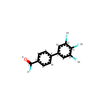 O=C(F)c1ccc(-c2cc(F)c(F)c(F)c2)cc1